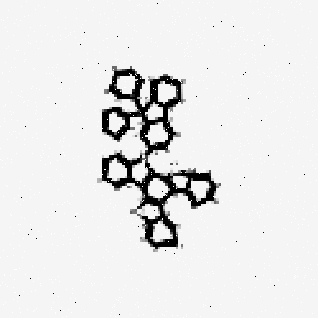 c1ccc(C2(c3ccccc3)c3ccccc3-c3ccc(-n4c5ccccc5c5c6oc7ccccc7c6c6c7ccccc7oc6c54)cc32)cc1